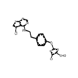 O=Cc1sc(Oc2ccc(CCNc3ncnc4scc(Cl)c34)cc2)nc1Cl